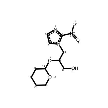 O=[N+]([O-])c1nccn1CC(CO)OC1CCCCO1